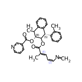 C=N/C=C\C=C(/C)C(=O)OC1[C@@H](c2ccccc2C)c2ccccc2C(C)[C@H]1OC(=O)c1cccnc1